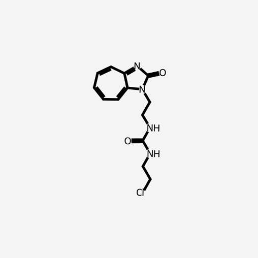 O=C(NCCCl)NCCn1c2cccccc-2nc1=O